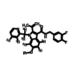 [2H]c1ccnc(C([2H])([2H])n2c(C(=C)C)c(C(=O)NCc3ccc(F)c(F)c3)c3c([2H])c([2H])c(OC(C)C)c([2H])c32)c1[2H]